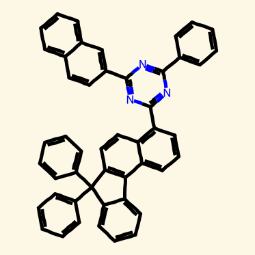 c1ccc(-c2nc(-c3ccc4ccccc4c3)nc(-c3cccc4c5c(ccc34)C(c3ccccc3)(c3ccccc3)c3ccccc3-5)n2)cc1